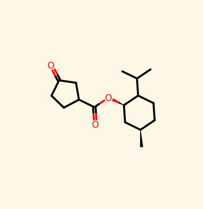 CC(C)C1CC[C@@H](C)C[C@H]1OC(=O)C1CCC(=O)C1